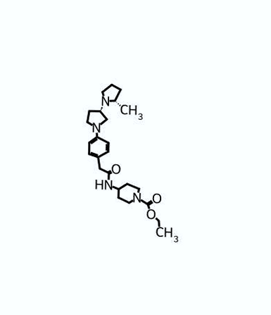 CCOC(=O)N1CCC(NC(=O)Cc2ccc(N3CC[C@H](N4CCC[C@@H]4C)C3)cc2)CC1